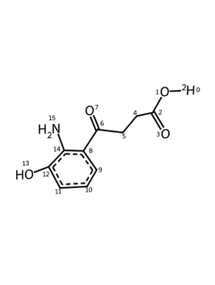 [2H]OC(=O)CCC(=O)c1cccc(O)c1N